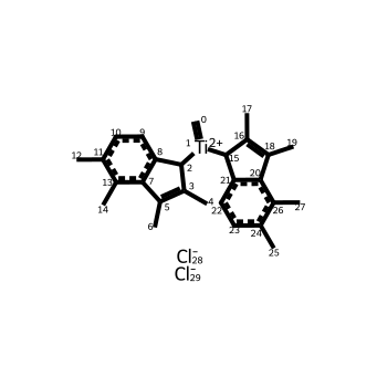 [CH2]=[Ti+2]([CH]1C(C)=C(C)c2c1ccc(C)c2C)[CH]1C(C)=C(C)c2c1ccc(C)c2C.[Cl-].[Cl-]